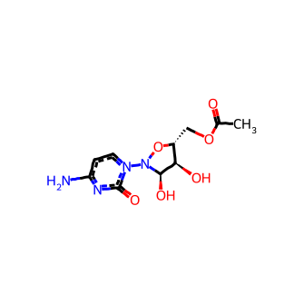 CC(=O)OC[C@H]1ON(n2ccc(N)nc2=O)[C@H](O)[C@@H]1O